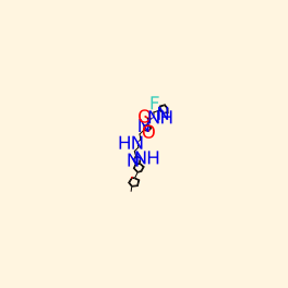 Cc1ccc(-c2ccc3[nH]c(CCNCCc4nc(C(=O)NCc5ncccc5F)co4)nc3c2)cc1